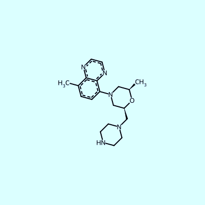 Cc1ccc(N2C[C@H](CN3CCNCC3)O[C@H](C)C2)c2nccnc12